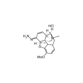 COC1=C2O[C@H]3C(=NN)C=C[C@H]4[C@H]5CC(C=C1)C2[C@@]34CCN5C.Cl